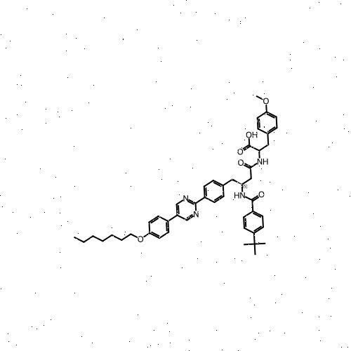 CCCCCCCOc1ccc(-c2cnc(-c3ccc(C[C@@H](CC(=O)NC(Cc4ccc(OC)cc4)C(=O)O)NC(=O)c4ccc(C(C)(C)C)cc4)cc3)nc2)cc1